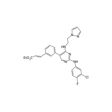 CCOC(=O)/C=C/c1cccc(-c2cnc(Nc3ccc(F)c(Cl)c3)nc2NCCn2cccn2)c1